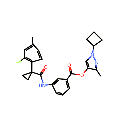 Cc1ccc(C2(C(=O)Nc3cccc(C(=O)Oc4cn(C5CCC5)nc4C)c3)CC2)c(F)c1